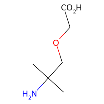 CC(C)(N)COCC(=O)O